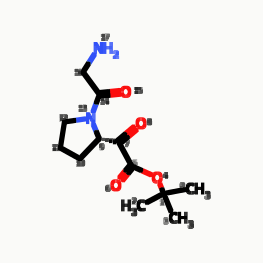 CC(C)(C)OC(=O)C(=O)[C@@H]1CCCN1C(=O)CN